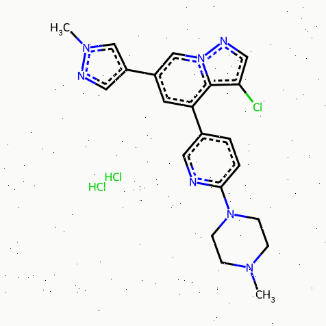 CN1CCN(c2ccc(-c3cc(-c4cnn(C)c4)cn4ncc(Cl)c34)cn2)CC1.Cl.Cl